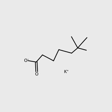 CC(C)(C)CCCCC(=O)[O-].[K+]